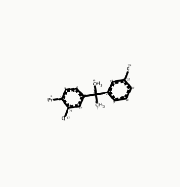 CC(C)c1ccc(C(C)(C)c2cccc(F)c2)cc1Cl